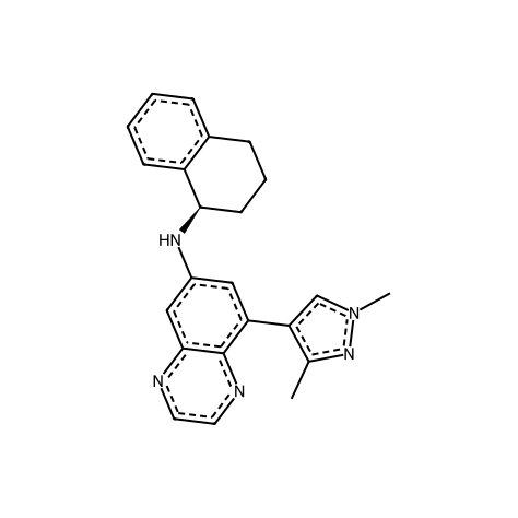 Cc1nn(C)cc1-c1cc(N[C@@H]2CCCc3ccccc32)cc2nccnc12